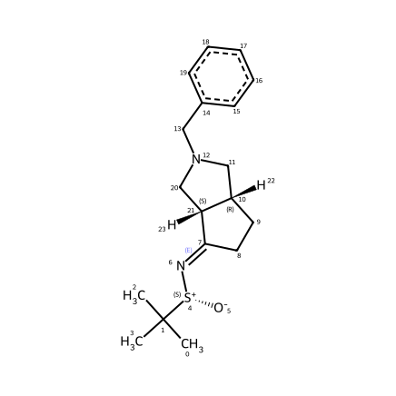 CC(C)(C)[S@@+]([O-])/N=C1\CC[C@H]2CN(Cc3ccccc3)C[C@@H]12